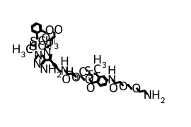 CSSC(C)c1cc(NC(=O)COCCOCCN)ccc1C(=O)OCCOCC(=O)NCC#Cc1cn([C@H](O)C[C@H](CC=O)OC(=O)c2ccccc2C(C)SSC)c2ncnc(N)c12